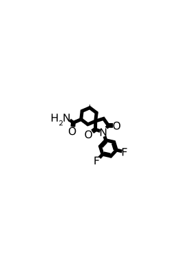 NC(=O)C1C[CH]CC2(CC(=O)N(c3cc(F)cc(F)c3)C2=O)C1